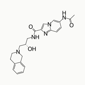 CC(=O)Nc1ccc2nc(C(=O)NC[C@H](O)CN3CCc4ccccc4C3)cn2c1